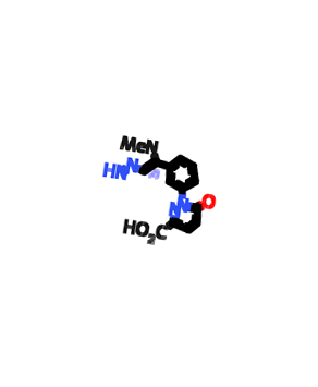 CN/C(=C\N=N)c1cccc(-n2nc(C(=O)O)ccc2=O)c1